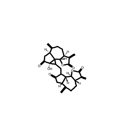 C=C1C(=O)O[C@@H]2[C@H]3C(CC4C56[C@@H](CC(=O)[C@]45O)C(=C)CC[C@H]4C(=C)C(=O)O[C@@H]46)C(=O)C[C@H]3C(=C)CC[C@@H]12